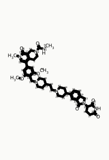 CNC(=O)N1CCc2c(-c3cc(OC)c(CN4CCC(CCN5CCC(c6ccc7c(c6)C(=O)N(C6CCC(=O)NC6=O)C7)CC5)CC4)c(OC)c3)cn(C)c(=O)c2C1